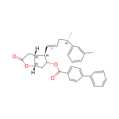 Cc1cccc([C@@H](C)C/C=C/[C@H]2C(OC(=O)c3ccc(-c4ccccc4)cc3)C[C@@H]3OC(=O)C[C@@H]32)c1